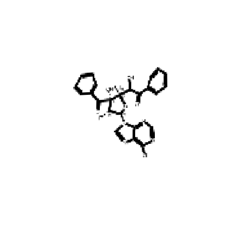 C[C@]1(C(O)C(=O)c2ccccc2)O[C@@H](n2cnc3c(Cl)ncnc32)[C@H](F)[C@@]1(O)C(=O)c1ccccc1